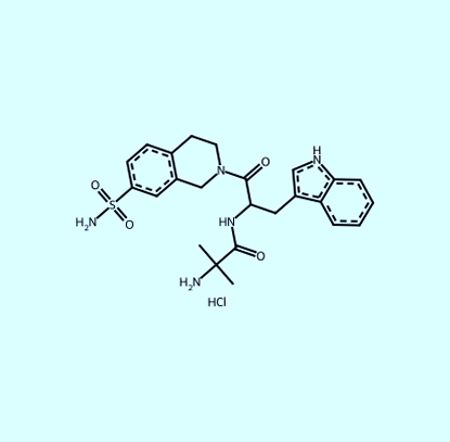 CC(C)(N)C(=O)NC(Cc1c[nH]c2ccccc12)C(=O)N1CCc2ccc(S(N)(=O)=O)cc2C1.Cl